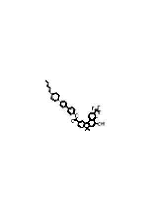 CCCCC[C@H]1CC[C@H](c2ccc(-c3ccc(OC(=O)c4ccc5c(c4)-c4c(cc(O)c6cc(C(F)(F)F)ccc46)C5(C)C)cc3)cc2)CC1